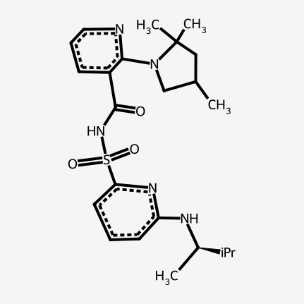 CC1CN(c2ncccc2C(=O)NS(=O)(=O)c2cccc(N[C@H](C)C(C)C)n2)C(C)(C)C1